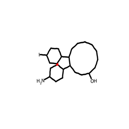 NC1CCC(C2CCC(O)CCCCCCCC2C2CCC(I)CC2)CC1